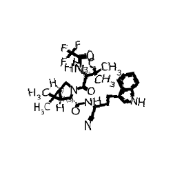 CC(C)(C)[C@H](NC(=O)C(F)(F)F)C(=O)N1C[C@H]2[C@@H]([C@H]1C(=O)NC(C#N)CCc1c[nH]c3ccccc13)C2(C)C